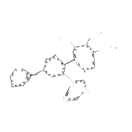 COc1cc(C=O)c(-c2ccc(-c3ccco3)cc2-n2cncn2)c(OC)c1OC